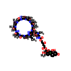 C/C=C/C[C@@H](C)[C@@H](OC(=O)CN(C)C(=O)CNC(=O)OCCC(=O)CCC(=O)OCC(=O)[C@@]1(O)[C@H](C)CC2C3CCC4=CC(=O)C=C[C@]4(C)[C@@]3(F)[C@@H](O)C[C@@]21C)[C@H]1C(=O)N[C@H](CC)C(=O)N(C)CC(=O)N(C)[C@@H](CC(C)C)C(=O)N[C@H](C(C)C)C(=O)N(C)[C@H](CC(C)C)C(=O)N[C@H](C)C(=O)NC(C)C(=O)N(C)[C@H](CC(C)C)C(=O)N(C)[C@H](CC(C)C)C(=O)N(C)[C@H](C(C)C)C(=O)N1C